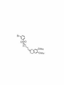 COc1cc2c(cc1OC)CN(CCCCNS(=O)(=O)c1cccc(Br)c1)CC2